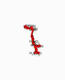 Cc1ncsc1-c1ccc(CNC(=O)[C@@H]2C[C@@H](O)CN2C(=O)[C@@H](NCCCCCCCN2CCC(N3CCC(CNc4ccc(S(=O)(=O)NC(=O)c5ccc(N6CCN(CC7=C(c8ccc(Cl)cc8)CC(C)(C)CC7)CC6)cc5Oc5cnc6[nH]ccc6c5)cc4[N+](=O)[O-])CC3)CC2)C(C)(C)C)cc1